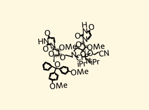 COc1ccc(C(OC[C@H]2O[C@@H](n3ccc(=O)[nH]c3=O)[C@H](OC)[C@@H]2OCCN(C)C[C@H]2O[C@@H](n3ccc(=O)[nH]c3=O)[C@H](OC)[C@@H]2OP(OCCC#N)N(C(C)C)C(C)C)(c2ccccc2)c2ccc(OC)cc2)cc1